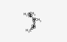 Cc1ccc(S(=O)(=O)OCCOCc2oc(C=Cc3cnc(N(C)C)o3)nc2C)cc1